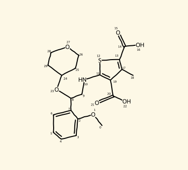 COc1ccccc1C(CNc1sc(C(=O)O)c(C)c1C(=O)O)OC1CCOCC1